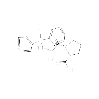 C[C@H](NP(=O)(c1ccccc1)c1ccccc1)C(=O)N1CCC[C@H]1C(=O)O